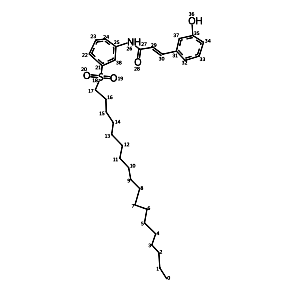 CCCCCCCCCCCCCCCCCCS(=O)(=O)c1cccc(NC(=O)/C=C/c2cccc(O)c2)c1